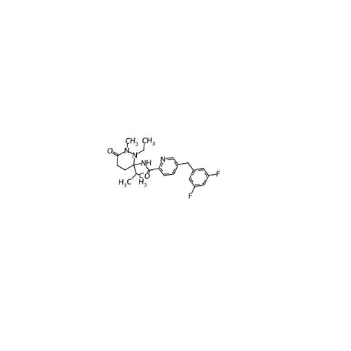 CCN1N(C)C(=O)CCC1(NC(=O)c1ccc(Cc2cc(F)cc(F)c2)cn1)C(C)C